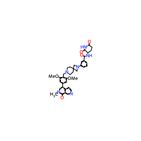 COc1cc(-c2cn(C)c(=O)c3cnccc23)cc(OC)c1CN1CCC2(CC1)CN(c1cccc(C(=O)NC3CCC(=O)NC3=O)c1)C2